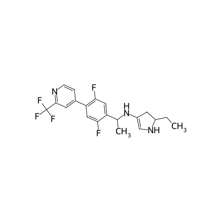 CCC1CC(NC(C)c2cc(F)c(-c3ccnc(C(F)(F)F)c3)cc2F)=CN1